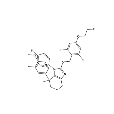 COc1ccc(C2(C)CCCc3nc(SCc4c(F)cc(OCCCl)cc4F)n(-c4ccc(F)cc4)c32)cc1C